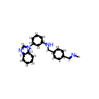 C/N=C/c1ccc(CNc2cccc(-n3cnc4ccccc43)c2)cc1